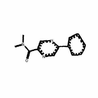 CN(C)C(=O)c1cnc(-c2ccccc2)cn1